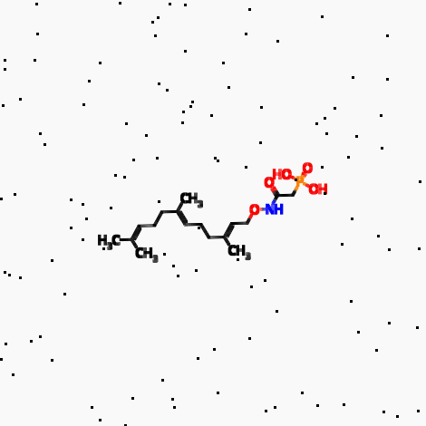 CC(C)=CCCC(C)=CCCC(C)=CCONC(=O)CP(=O)(O)O